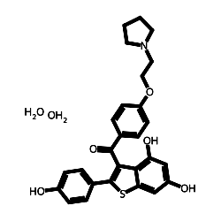 O.O.O=C(c1ccc(OCCN2CCCC2)cc1)c1c(-c2ccc(O)cc2)sc2cc(O)cc(O)c12